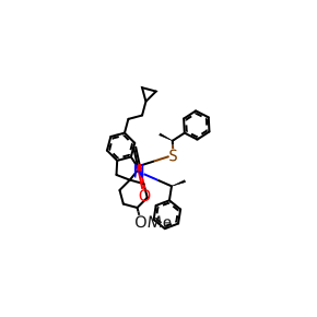 COC1CCC2(CC1)Cc1ccc(CCC3CC3)cc1C21N=C(S[C@@H](C)c2ccccc2)N([C@@H](C)c2ccccc2)C1=O